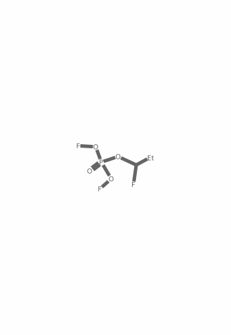 CCC(F)OP(=O)(OF)OF